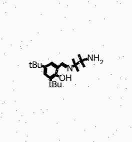 CC(C)(C)c1cc(C=NC(C)(C)C(C)(C)N)c(O)c(C(C)(C)C)c1